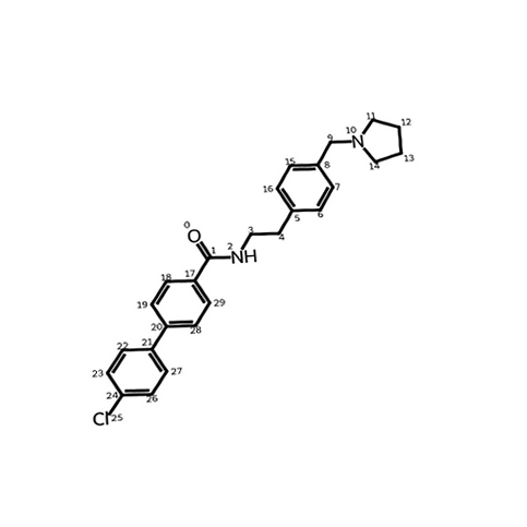 O=C(NCCc1ccc(CN2CCCC2)cc1)c1ccc(-c2ccc(Cl)cc2)cc1